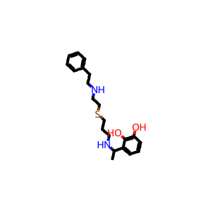 CC(NCCCSCCNCCc1ccccc1)c1cccc(O)c1O